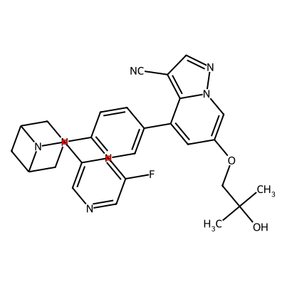 CC(C)(O)COc1cc(-c2ccc(N3CC4CC(C3)N4Cc3cncc(F)c3)nc2)c2c(C#N)cnn2c1